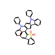 O=S1(=O)c2ccccc2-c2cccc(-c3cc4c5ccccc5n(-c5ccccc5)c4cc3N(c3ccccc3)c3ccccc3)c21